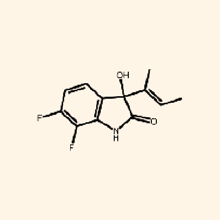 CC=C(C)C1(O)C(=O)Nc2c1ccc(F)c2F